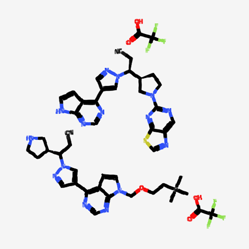 C[Si](C)(C)CCOCn1ccc2c(-c3cnn(C(CC#N)[C@H]4CCNC4)c3)ncnc21.N#CC[C@@H]([C@H]1CCN(c2ncc3ncsc3n2)C1)n1cc(-c2ncnc3[nH]ccc23)cn1.O=C(O)C(F)(F)F.O=C(O)C(F)(F)F